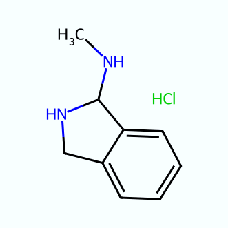 CNC1NCc2ccccc21.Cl